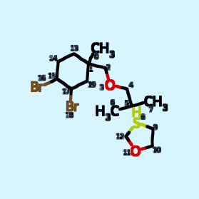 CC1(COCC(C)(C)[SH]2CCOC2)CCC(Br)C(Br)C1